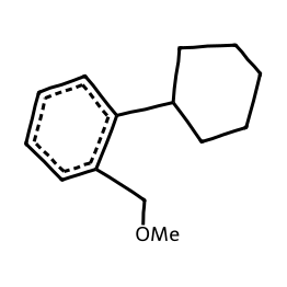 COCc1ccccc1C1CCCCC1